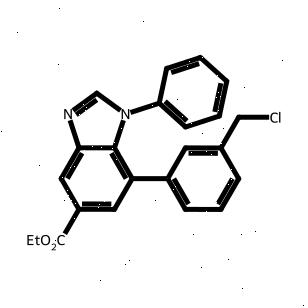 CCOC(=O)c1cc(-c2cccc(CCl)c2)c2c(c1)ncn2-c1ccccc1